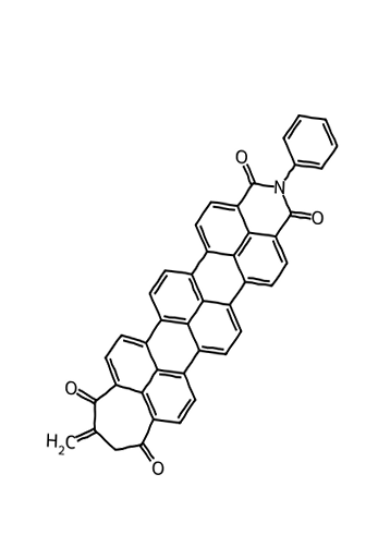 C=C1CC(=O)c2ccc3c4ccc5c6ccc7c8c(ccc(c9ccc(c%10ccc(c2c3%10)C1=O)c4c59)c86)C(=O)N(c1ccccc1)C7=O